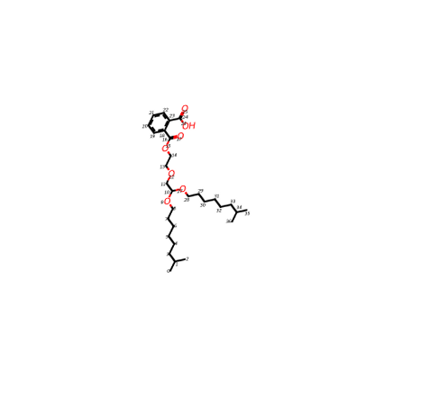 CC(C)CCCCCCOC(COCCOC(=O)c1ccccc1C(=O)O)OCCCCCCC(C)C